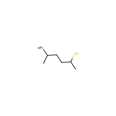 CCCC(C)CCC(C)S